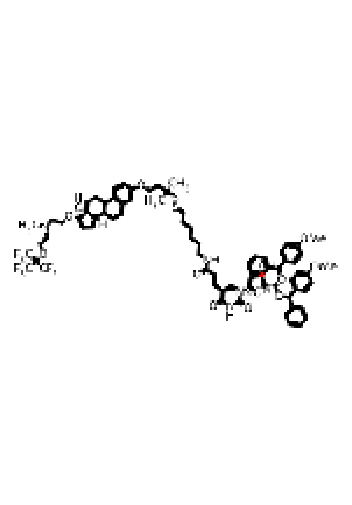 COc1ccc(C(OC(OC(c2ccccc2)c2ccc(OC)cc2)[C@@H]2O[C@@H](n3cc(CCC(=O)NCCCCCCSSC(C)(C)CCOc4ccc5c(c4)CCC4C5CC[C@]5(C)[C@@H](OCCN(C)CCOC(C(F)(F)F)(C(F)(F)F)C(F)(F)F)CC[C@@H]45)c(=O)[nH]c3=O)C[C@@H]2O)c2ccccc2)cc1